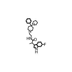 CC(C(=O)NCCN1CCC(c2ccccc2)(N2CCCC2)CC1)c1c[nH]c2cc(F)ccc12